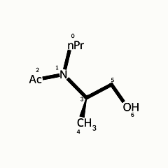 CCCN(C(C)=O)[C@H](C)CO